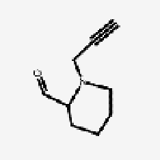 C#CCN1CCCCC1C=O